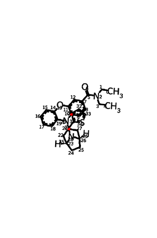 CCN(CC)C(=O)c1ccc2c(c1)Oc1ccccc1N2[C@@H]1C[C@H]2CC[C@@H](C1)N2Cc1cccs1